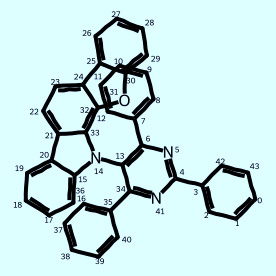 c1ccc(-c2nc(-c3ccccc3)c(-n3c4ccccc4c4ccc5c6ccccc6oc5c43)c(-c3ccccc3)n2)cc1